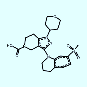 CS(=O)(=O)c1ccc2c(c1)N(c1nn(C3CCOCC3)c3c1CN(C(=O)O)CC3)CCC2